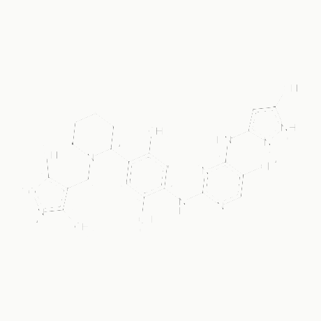 Cc1cc(Nc2nc(Nc3cc(C)c(C4CCCCN4Cc4c(C)noc4C)cc3C)ncc2Cl)n[nH]1